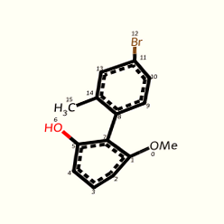 COc1cccc(O)c1-c1ccc(Br)cc1C